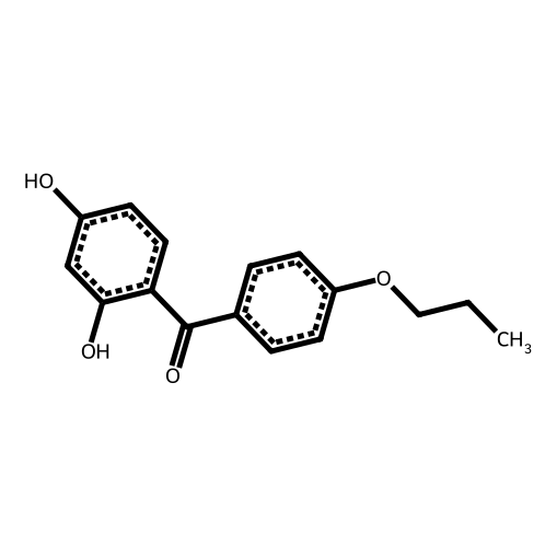 CCCOc1ccc(C(=O)c2ccc(O)cc2O)cc1